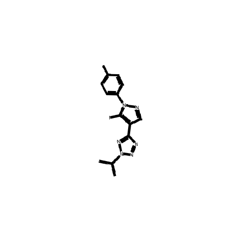 Cc1ccc(-n2ncc(-c3nnn(C(C)C)n3)c2I)cc1